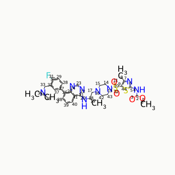 COC(=O)Nc1nc(C)c(S(=O)(=O)N2CCN(CC(C)Nc3ncnc4c(-c5ccc(F)c(CN(C)C)c5)cccc34)CC2)s1